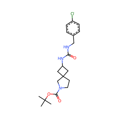 CC(C)(C)OC(=O)N1CCC2(CC(NC(=O)NCc3ccc(Cl)cc3)C2)C1